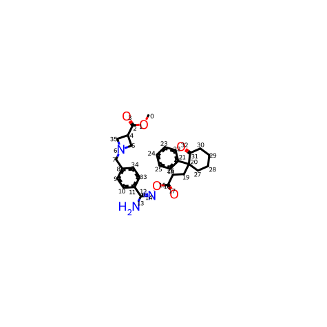 COC(=O)C1CN(Cc2ccc(/C(N)=N\OC(=O)CCC3(c4ccccc4)CCCCC3=O)cc2)C1